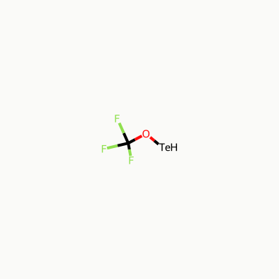 FC(F)(F)O[TeH]